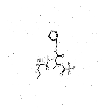 CC[C@H](C)[C@H](N)C(=O)N[C@H](C(=O)OCc1ccccc1)[C@H](C)OC(=O)C(F)(F)F